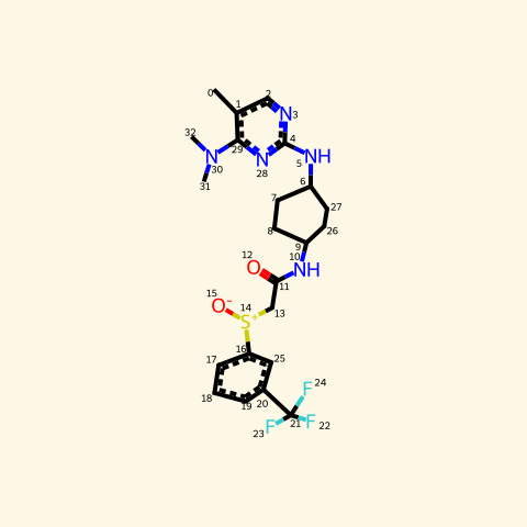 Cc1cnc(NC2CCC(NC(=O)C[S+]([O-])c3cccc(C(F)(F)F)c3)CC2)nc1N(C)C